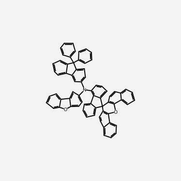 c1ccc(C2(c3ccccc3)c3ccccc3-c3cc(N(c4ccc5oc6ccccc6c5c4)c4cccc5c4-c4ccccc4C54c5ccc6ccccc6c5Oc5c4ccc4ccccc54)ccc32)cc1